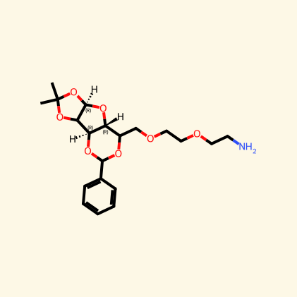 CC1(C)OC2[C@H](O[C@@H]3C(COCCOCCN)OC(c4ccccc4)O[C@@H]23)O1